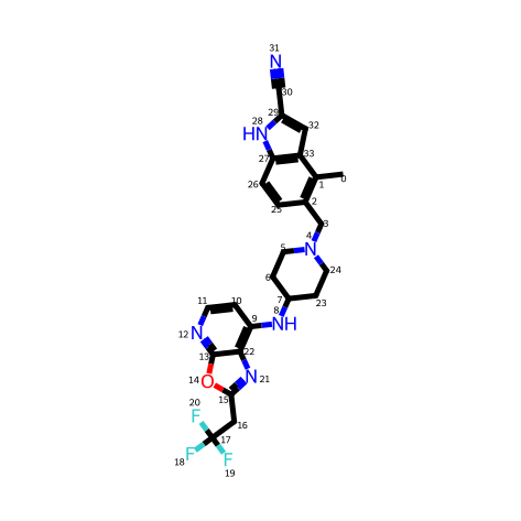 Cc1c(CN2CCC(Nc3ccnc4oc(CC(F)(F)F)nc34)CC2)ccc2[nH]c(C#N)cc12